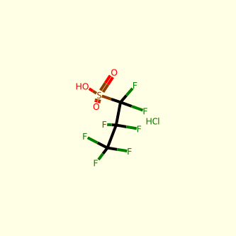 Cl.O=S(=O)(O)C(F)(F)C(F)(F)C(F)(F)F